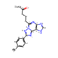 COC(=O)CCCc1nc2nc[nH]c2c2nc(-c3ccc(C(C)(C)C)cc3)nn12